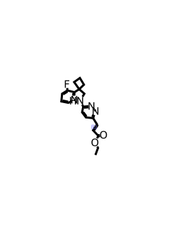 CCOC(=O)/C=C/c1ccc(NCC2(c3ncccc3F)CCC2)nn1